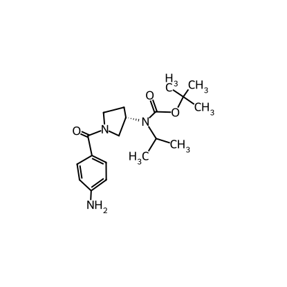 CC(C)N(C(=O)OC(C)(C)C)[C@H]1CCN(C(=O)c2ccc(N)cc2)C1